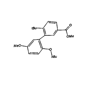 CCCCOc1ccc(OC)cc1-c1cc(C(=O)OC)ccc1C(C)(C)C